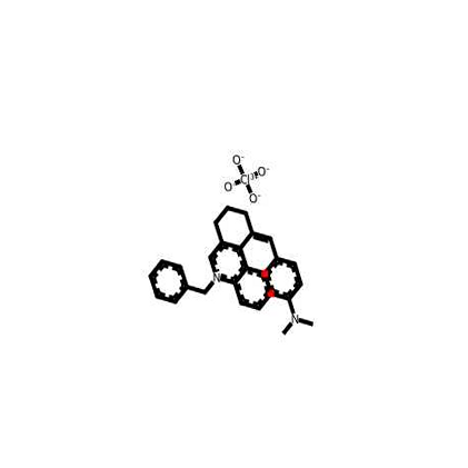 CN(C)c1ccc(/C=C2/CCCc3c[n+](Cc4ccccc4)c4ccccc4c32)cc1.[O-][Cl+3]([O-])([O-])[O-]